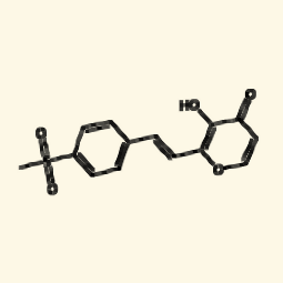 CS(=O)(=O)c1ccc(C=Cc2occc(=O)c2O)cc1